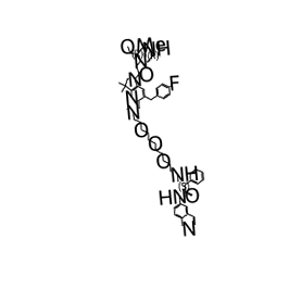 COC[C@H]1CN[C@H](C)CN1CC(=O)N1CC(C)(C)c2nc(CN(C)CCOCCOCCOCCNC[C@@H](C(=O)Nc3ccc4cnccc4c3)c3ccccc3)c(Cc3ccc(F)cc3)cc21